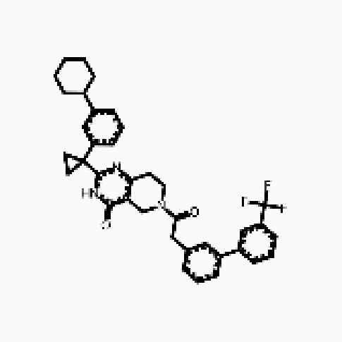 O=C(Cc1cccc(-c2cccc(C(F)(F)F)c2)c1)N1CCc2nc(C3(c4cccc(C5CCCCC5)c4)CC3)[nH]c(=O)c2C1